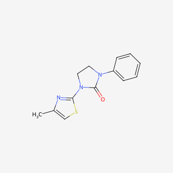 Cc1csc(N2CCN(c3ccccc3)C2=O)n1